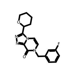 O=c1c2nnc(C3CCCCO3)n2ccn1Cc1cccc(F)c1